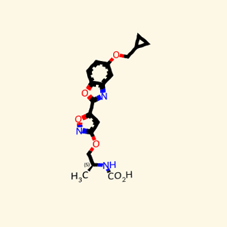 C[C@@H](COc1cc(-c2nc3cc(OCC4CC4)ccc3o2)on1)NC(=O)O